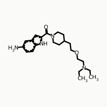 CCN(CC)CCOCCC1CCN(C(=O)c2cc3cc(N)ccc3[nH]2)CC1